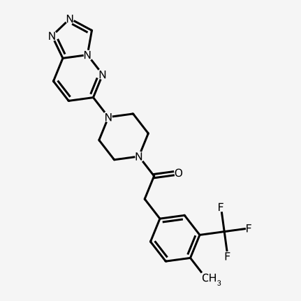 Cc1ccc(CC(=O)N2CCN(c3ccc4nncn4n3)CC2)cc1C(F)(F)F